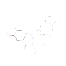 CCC[C@H](c1nc2ccc(Br)cc2c(=O)n1CC)[C@H]1CC[C@H](C)N(C)CC1